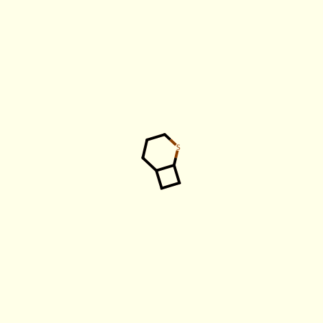 C1CSC2CCC2C1